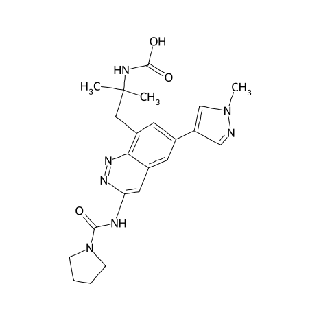 Cn1cc(-c2cc(CC(C)(C)NC(=O)O)c3nnc(NC(=O)N4CCCC4)cc3c2)cn1